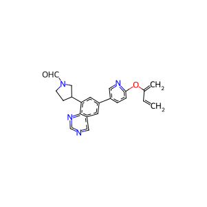 C=CC(=C)Oc1ccc(-c2cc(C3CCN(C=O)C3)c3ncncc3c2)cn1